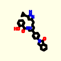 O=C(NCC(CCCc1cc(C2CC2)[nH]n1)c1ccc(N2Cc3ccccc3C2=O)cc1)c1ccccc1O